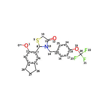 COc1cc2c(cc1C1SCC(=O)N1Cc1ccc(OC(F)(F)F)cc1)CCC2